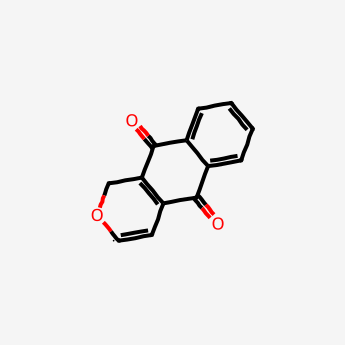 O=C1C2=C(CO[C]=C2)C(=O)c2ccccc21